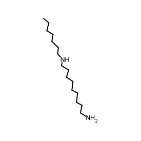 CCCCCCCNCCCCCCCCCN